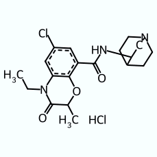 CCN1C(=O)C(C)Oc2c(C(=O)NC3CN4CCC3CC4)cc(Cl)cc21.Cl